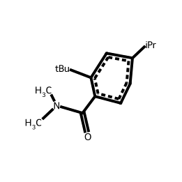 CC(C)c1ccc(C(=O)N(C)C)c(C(C)(C)C)c1